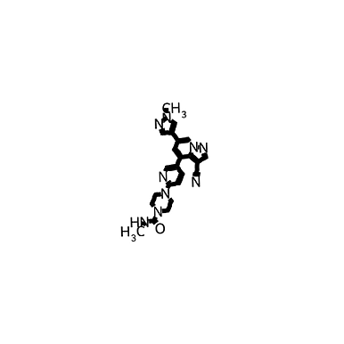 CNC(=O)N1CCN(c2ccc(-c3cc(-c4cnn(C)c4)cn4ncc(C#N)c34)cn2)CC1